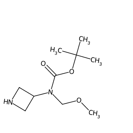 COCN(C(=O)OC(C)(C)C)C1CNC1